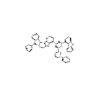 C1=CC2C(c3ccccc3N2c2ccccc2)c2c1oc1c(-c3nc(-c4cccc(-c5ccccc5)c4)nc(-c4cccc5sc6ccccc6c45)n3)cccc21